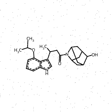 CC(C)Oc1cccc2[nH]cc(C(C)CC(=O)N3C4CC5CC3CC(C4)C5O)c12